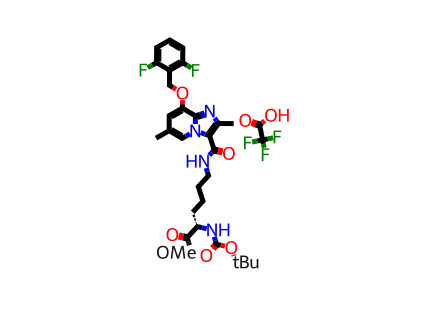 COC(=O)[C@H](CCCCNC(=O)c1c(C)nc2c(OCc3c(F)cccc3F)cc(C)cn12)NC(=O)OC(C)(C)C.O=C(O)C(F)(F)F